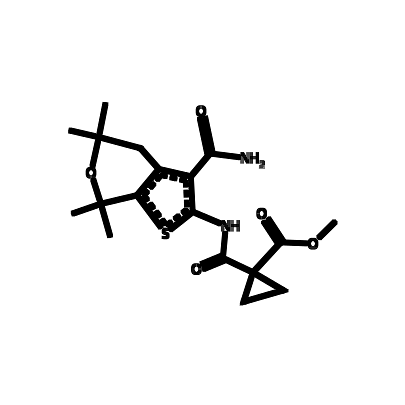 COC(=O)C1(C(=O)Nc2sc3c(c2C(N)=O)CC(C)(C)OC3(C)C)CC1